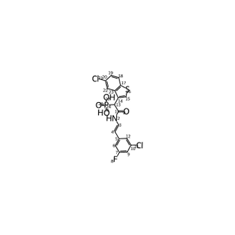 O=C(NC=Cc1cc(F)cc(Cl)c1)C(c1csc2ccc(Cl)cc12)P(=O)(O)O